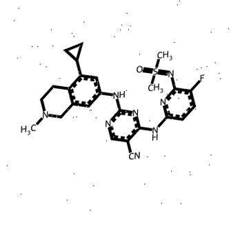 CN1CCc2c(cc(Nc3ncc(C#N)c(Nc4ccc(F)c(N=S(C)(C)=O)n4)n3)cc2C2CC2)C1